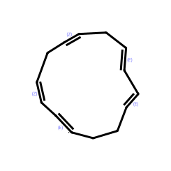 [C]1=C/C=C\C/C=C\C/C=C/C=C/CC/1